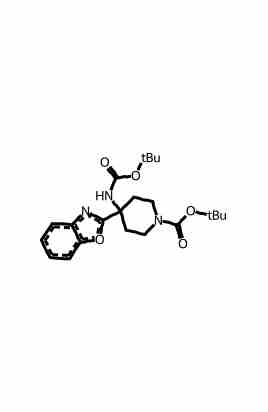 CC(C)(C)OC(=O)NC1(c2nc3ccccc3o2)CCN(C(=O)OC(C)(C)C)CC1